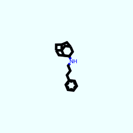 c1ccc(CCCNC23CC4CC5CC(C2)C5(C4)C3)cc1